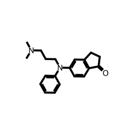 CN(C)CCCN(c1ccccc1)c1ccc2c(c1)CCC2=O